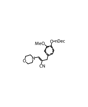 CCCCCCCCCCOc1ccc(CC(C#N)=CN2CCOCC2)cc1OC